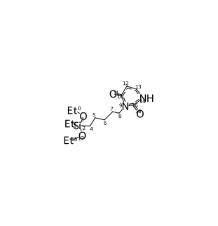 CCO[Si](CC)(CCCCCn1c(=O)cc[nH]c1=O)OCC